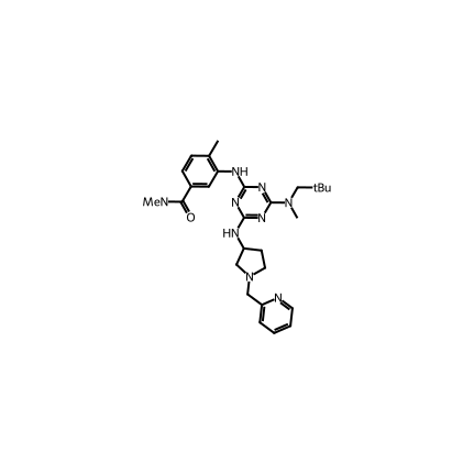 CNC(=O)c1ccc(C)c(Nc2nc(NC3CCN(Cc4ccccn4)C3)nc(N(C)CC(C)(C)C)n2)c1